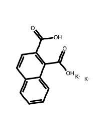 O=C(O)c1ccc2ccccc2c1C(=O)O.[K].[K]